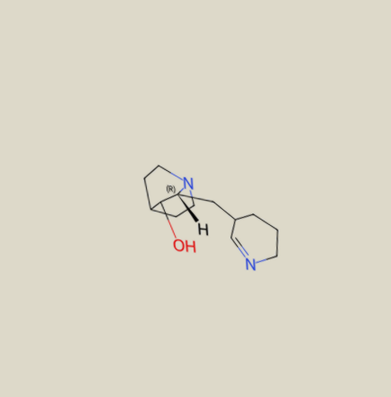 OC1C2CCN(CC2)[C@@H]1CC1C=NCCC1